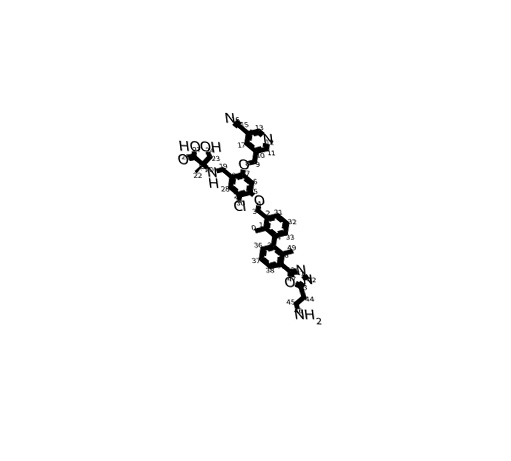 Cc1c(COc2cc(OCc3cncc(C#N)c3)c(CN[C@@](C)(CO)C(=O)O)cc2Cl)cccc1-c1cccc(-c2nnc(CCN)o2)c1C